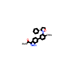 CNC(=O)c1n[nH]c2cc(-c3ccc(OC)c(N4OCC[C@H]4c4ccccc4)c3)ccc12